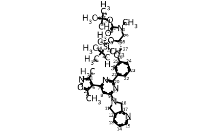 Cc1noc(C)c1-c1cc(N2Cc3cccnc3C2)nc(-c2cccc(OC[C@@H](CN(C)C(=O)OC(C)(C)C)O[Si](C)(C)C(C)(C)C)c2)n1